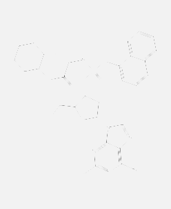 C[C@H](NP(=O)(Oc1cccc2ccccc12)O[C@@H]1C[C@H](n2cnc3c(N)nc(Cl)nc32)OC1CO)C(=O)OC1CCCCC1